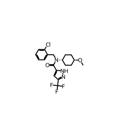 CO[C@H]1CC[C@H](N(Cc2ccccc2Cl)C(=O)c2cc(C(F)(F)F)n[nH]2)CC1